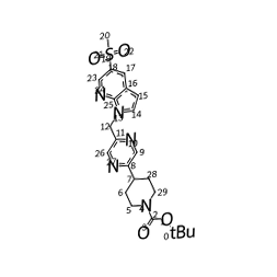 CC(C)(C)OC(=O)N1CCC(c2cnc(Cn3ccc4cc(S(C)(=O)=O)cnc43)cn2)CC1